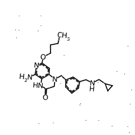 CCCCOc1cc2c(c(N)n1)NC(=O)CN2Cc1cccc(CNCC2CC2)c1